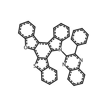 c1ccc(-c2nc3ccccc3nc2-n2c3ccccc3c3c4c5ccccc5oc4c4sc5ccccc5c4c32)cc1